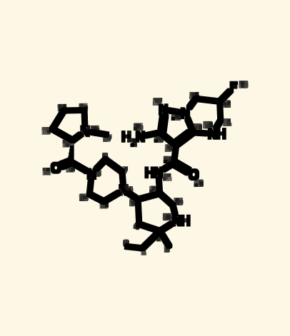 CCC1(C)CC(N2CCN(C(=O)[C@@H]3CCCN3C)CC2)C(NC(=O)c2c(N)nn3c2NCC(F)C3)CN1